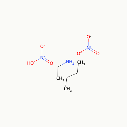 CCCC.CCN.O=[N+]([O-])O.[O][N+](=O)[O-]